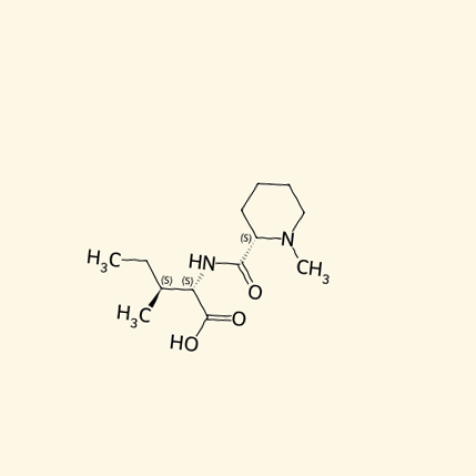 CC[C@H](C)[C@H](NC(=O)[C@@H]1CCCCN1C)C(=O)O